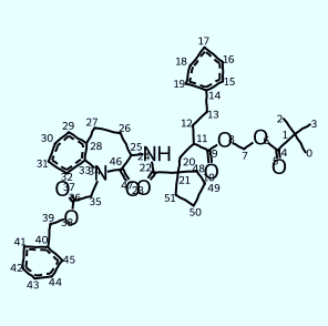 CC(C)(C)C(=O)OCOC(=O)C(CCc1ccccc1)CC1(C(=O)NC2CCc3ccccc3N(CC(=O)OCc3ccccc3)C2=O)CCCC1